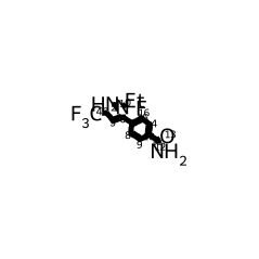 CCN1NC(C(F)(F)F)C=C1c1ccc(C(N)=O)cc1F